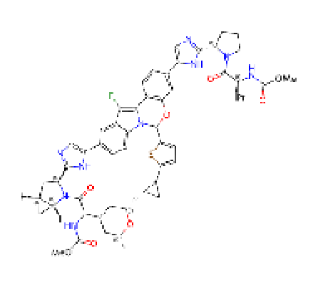 COC(=O)NC(C(=O)N1[C@@H]2C[C@@H]2C[C@H]1c1ncc(-c2ccc3c(c2)c(F)c2n3C(c3ccc(C4CC4)s3)Oc3cc(-c4cnc([C@@H]5CCCN5C(=O)[C@@H](NC(=O)OC)C(C)C)[nH]4)ccc3-2)[nH]1)C1C[C@@H](C)O[C@@H](C)C1